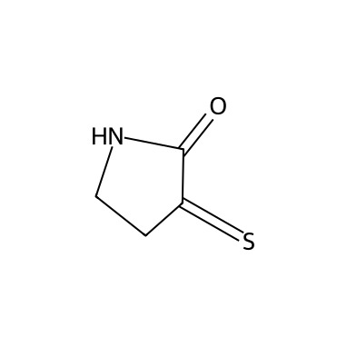 O=C1NCCC1=S